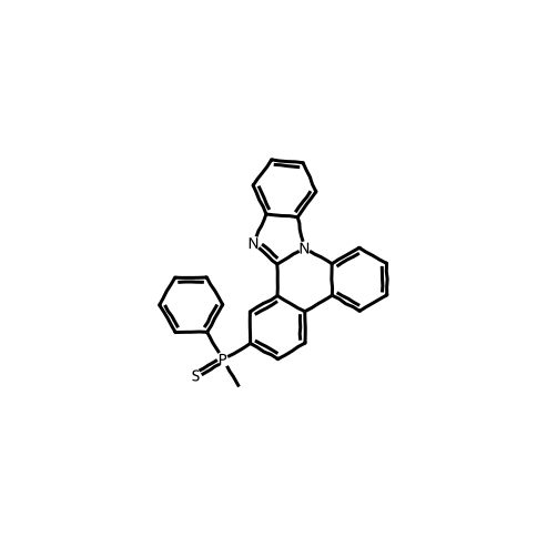 CP(=S)(c1ccccc1)c1ccc2c3ccccc3n3c4ccccc4nc3c2c1